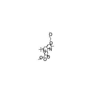 CCOC(=O)c1cn2c(cc1=O)-c1nc(C)c(OCCCOC)cc1C[C@H]2C(C)(C)C